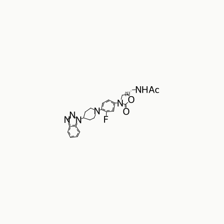 CC(=O)NC[C@H]1CN(c2ccc(N3CCC(n4nnc5ccccc54)CC3)c(F)c2)C(=O)O1